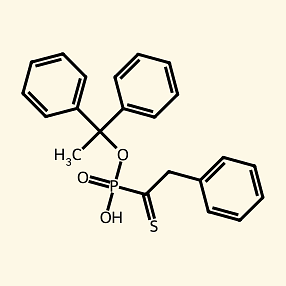 CC(OP(=O)(O)C(=S)Cc1ccccc1)(c1ccccc1)c1ccccc1